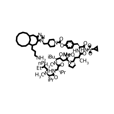 CCCC(CC)CN(C)[C@H](C(=O)N[C@H](C(=O)N(C)[C@@H]([C@@H](C)CC)[C@@H](CC(=O)N1CCC[C@H]1[C@H](OC)[C@@H](C)C(=O)N[C@@H](Cc1ccc(OC(=O)N2CCC(Cn3nnc4c3CC(CCCN)C3CCCCCCCCC(C4)C3)CC2)cc1)C(=O)NS(=O)(=O)C1CC1)OC)C(C)C)C(C)C